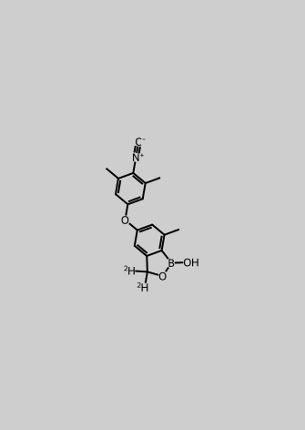 [2H]C1([2H])OB(O)c2c(C)cc(Oc3cc(C)c([N+]#[C-])c(C)c3)cc21